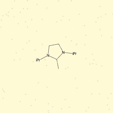 CC(C)N1CCN(C(C)C)C1C